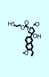 C=Cc1cc2cc([C@]3(O)C[C@@H](C=O)N(C(=O)OCCS)C3)ccc2cc1OC